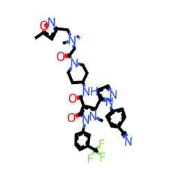 Cc1cc(C[N+](C)(C)CC(=O)N2CCC(NC(=O)c3c(-c4ccnn4-c4ccc(C#N)cc4)n(C)n(-c4cccc(C(F)(F)F)c4)c3=O)CC2)no1